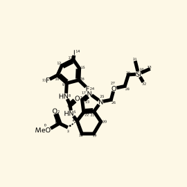 COC(=O)C[C@@]1(NC(=O)Nc2c(F)cc(I)cc2F)CCCc2c1cnn2COCC[Si](C)(C)C